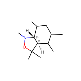 CC1CC(C)[C@@H]2[C@@H](C1C)C(C)(C)ON2C